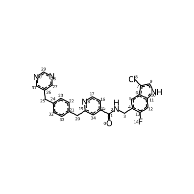 O=C(NCc1cc2c(Cl)c[nH]c2cc1F)c1ccnc(Cc2ccc(Cc3cncnc3)cc2)c1